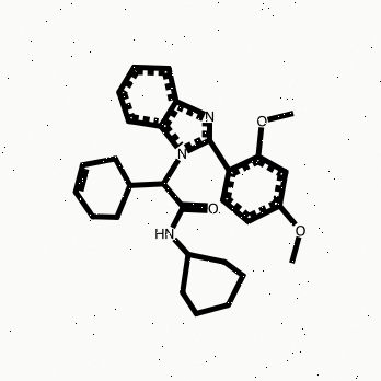 COc1ccc(-c2nc3ccccc3n2C(C(=O)NC2CCCCC2)C2CC=CCC2)c(OC)c1